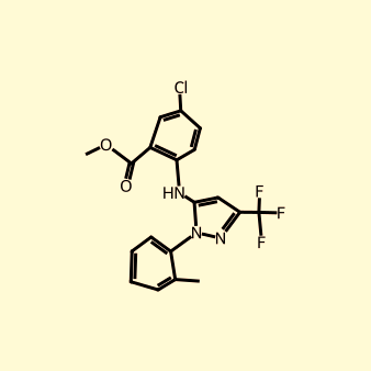 COC(=O)c1cc(Cl)ccc1Nc1cc(C(F)(F)F)nn1-c1ccccc1C